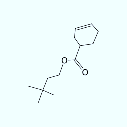 CC(C)(C)CCOC(=O)C1CC=CCC1